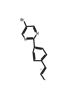 [CH2]/C=C/c1ccc(-c2ncc(Br)cn2)cc1